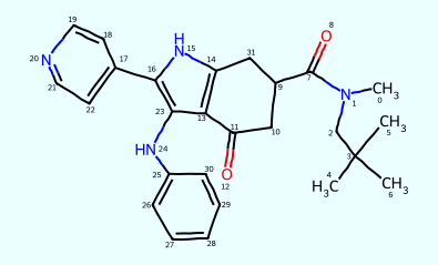 CN(CC(C)(C)C)C(=O)C1CC(=O)c2c([nH]c(-c3ccncc3)c2Nc2ccccc2)C1